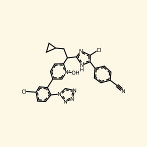 N#Cc1ccc(-c2[nH]c(C(CC3CC3)c3ccc(-c4cc(Cl)ccc4-n4cnnn4)c[n+]3O)nc2Cl)cc1